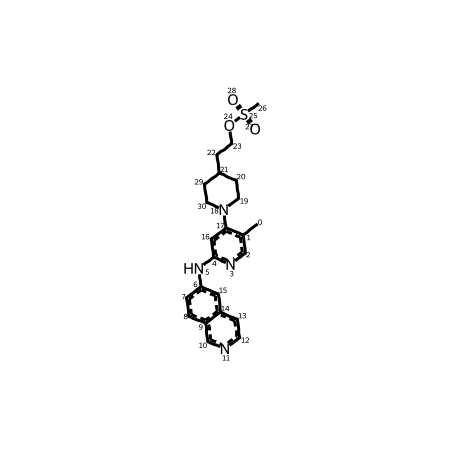 Cc1cnc(Nc2ccc3cnccc3c2)cc1N1CCC(CCOS(C)(=O)=O)CC1